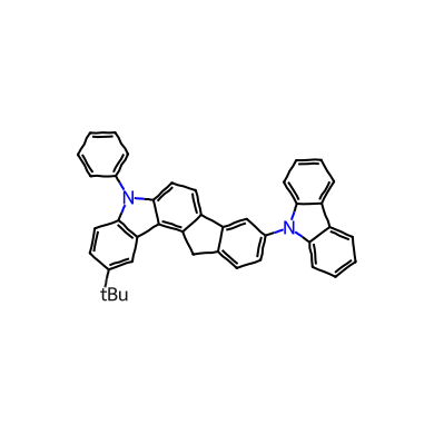 CC(C)(C)c1ccc2c(c1)c1c3c(ccc1n2-c1ccccc1)-c1cc(-n2c4ccccc4c4ccccc42)ccc1C3